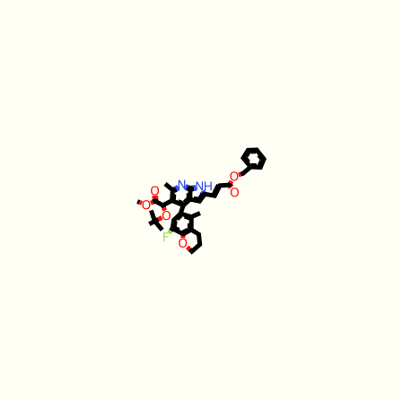 COC(=O)C(OC(C)(C)C)c1c(C)nc2[nH]c(/C=C/C(=O)OCc3ccccc3)cc2c1-c1cc(F)c2c(c1C)CCCO2